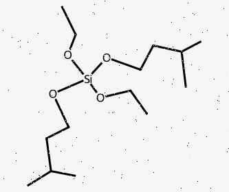 CCO[Si](OCC)(OCCC(C)C)OCCC(C)C